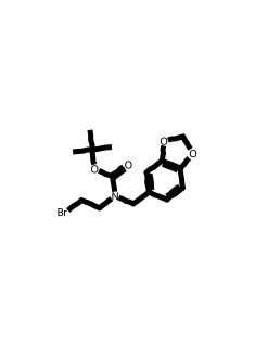 CC(C)(C)OC(=O)N(CCBr)Cc1ccc2c(c1)OCO2